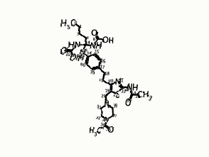 CCCCC(NC(=O)O)(NC(=O)O)Nc1ccc(CCc2nc(NC(C)=O)sc2CN2CCN(C(C)=O)CC2)cc1